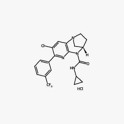 Cl.O=C(NC1CC1)N1c2nc(-c3cccc(C(F)(F)F)c3)c(Cl)cc2N2CC[C@H]1C2